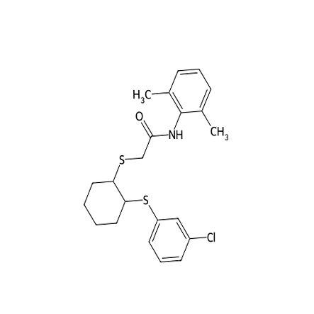 Cc1cccc(C)c1NC(=O)CSC1CCCCC1Sc1cccc(Cl)c1